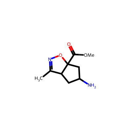 COC(=O)C12CC(N)CC1C(C)=NO2